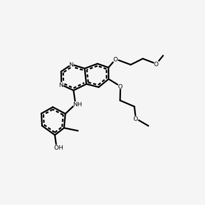 COCCOc1cc2ncnc(Nc3cccc(O)c3C)c2cc1OCCOC